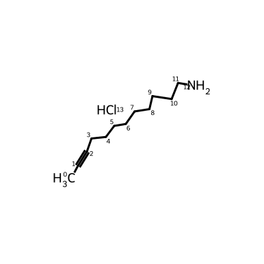 CC#CCCCCCCCCCN.Cl